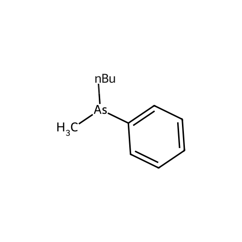 CCCC[As](C)c1ccccc1